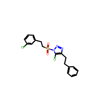 O=S(=O)(CCc1cccc(Cl)c1)n1nnc(CCc2ccccc2)c1Cl